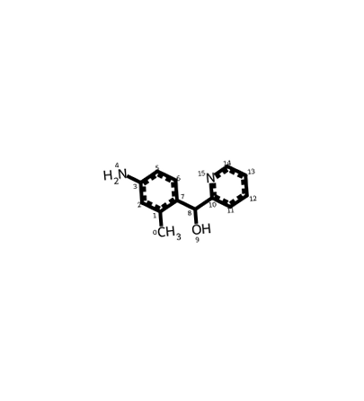 Cc1cc(N)ccc1C(O)c1ccccn1